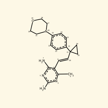 Cc1nc(N)nc(N)c1/C=C/C1(c2ccc(N3CCOCC3)cc2)CC1